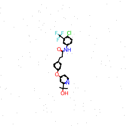 CC(C)(O)c1cc(Oc2ccc(CCC(=O)Nc3ccc(Cl)c(C(F)(F)F)c3)cc2)ccn1